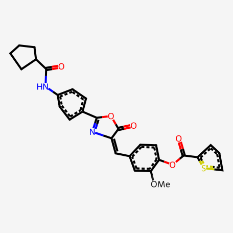 COc1cc(/C=C2/N=C(c3ccc(NC(=O)C4CCCC4)cc3)OC2=O)ccc1OC(=O)c1cccs1